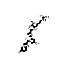 CNC(=O)C(CCCCNC(=N)N)NC(=O)c1csc([C@@H]2C[C@@H](O)CN2C(=O)c2cn3cc(Cl)ccc3n2)n1